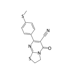 CSc1ccc(-c2nc3n(c(=O)c2C#N)CCS3)cc1